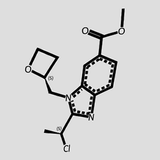 COC(=O)c1ccc2nc([C@H](C)Cl)n(C[C@@H]3CCO3)c2c1